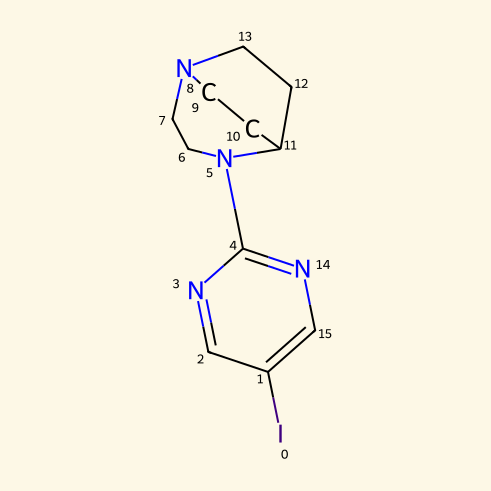 Ic1cnc(N2CCN3CCC2CC3)nc1